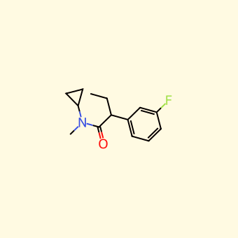 CCC(C(=O)N(C)C1CC1)c1cccc(F)c1